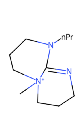 CCCN1CCC[N+]2(C)CCCN=C12